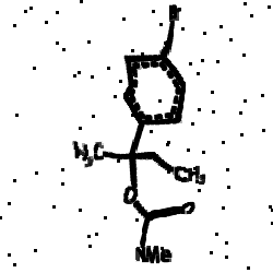 CNC(=O)OC(C)(C)c1ccc(Br)cc1